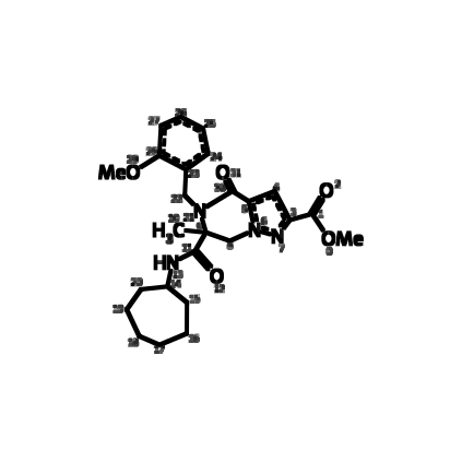 COC(=O)c1cc2n(n1)CC(C)(C(=O)NC1CCCCCC1)N(Cc1ccccc1OC)C2=O